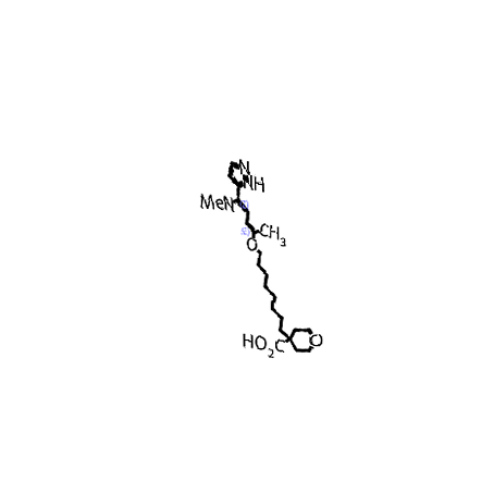 CN/C(=C\C=C(/C)OCCCCCCCCC1(C(=O)O)CCOCC1)c1ccn[nH]1